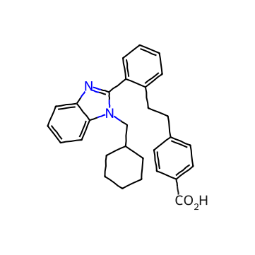 O=C(O)c1ccc(CCc2ccccc2-c2nc3ccccc3n2CC2CCCCC2)cc1